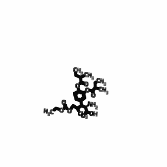 CCOC(=O)OCC(C)C(c1ccc(OC(=O)C(C)CC)c(OC(=O)C(C)CC)c1)[C@H](N)C(=O)O